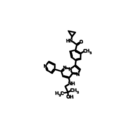 Cc1cc(-c2cnc3c(NCC(C)(C)O)cc(-c4ccncc4)nn23)ccc1C(=O)NC1CC1